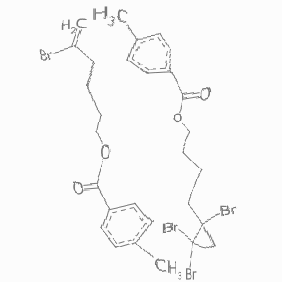 C=C(Br)CCCCOC(=O)c1ccc(C)cc1.Cc1ccc(C(=O)OCCCCC2(Br)CC2(Br)Br)cc1